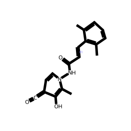 CC1=C(O)C(=C=O)C=CN1NC(=O)/C=C/c1c(C)cccc1C